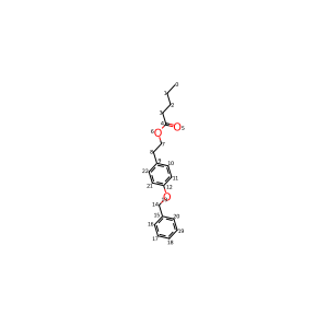 CCCCC(=O)OCCc1ccc(OCc2ccccc2)cc1